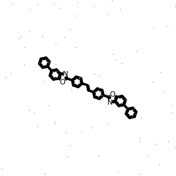 C(=Cc1ccc(-c2nc3cc(-c4ccccc4)ccc3o2)cc1)c1ccc(-c2nc3cc(-c4ccccc4)ccc3o2)cc1